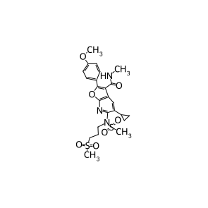 CNC(=O)c1c(-c2ccc(OC)cc2)oc2nc(N(CCCS(C)(=O)=O)S(C)(=O)=O)c(C3CC3)cc12